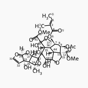 C/C=C(\C)C(=O)O[C@H]1C[C@@H](OC(C)=O)[C@@]2(C(=O)OC)CO[C@H]3[C@@H](O)[C@@](C)([C@]45O[C@@]4(C)C4[C@@H]5O[C@@H]5OC=C[C@]45O)[C@H]4[C@]1(CO[C@]4(O)C(=O)OC)[C@@H]32